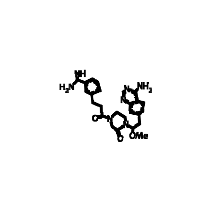 COC(Cc1ccc2c(N)ncnc2c1)N1CCN(C(=O)CCc2cccc(C(=N)N)c2)CC1=O